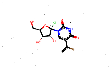 C=C(Br)c1cn([C@]2(Cl)O[C@H](CO)[C@@H](O)[C@H]2O)c(=O)[nH]c1=O